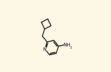 Nc1ccnc(CC2CCC2)c1